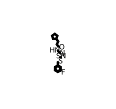 O=C(CCC1CCCC1)Nc1nnc(SCc2cccc(F)c2)s1